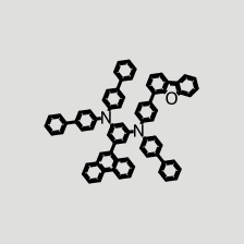 c1ccc(-c2ccc(N(c3ccc(-c4ccccc4)cc3)c3cc(-c4cc5ccccc5c5ccccc45)cc(N(c4ccc(-c5ccccc5)cc4)c4ccc(-c5cccc6c5oc5ccccc56)cc4)c3)cc2)cc1